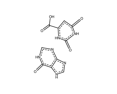 O=C(O)c1cc(=O)[nH]c(=O)[nH]1.O=c1[nH]cnc2nc[nH]c12